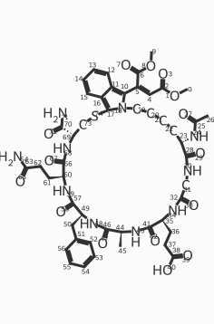 COC(=O)/C=C(\C(=O)OC)c1c2ccccc2c2n1CCCC[C@H](NC(C)=O)C(=O)NCC(=O)N[C@@H](CCC(=O)O)C(=O)N[C@@H](C)C(=O)N[C@@H](Cc1ccccc1)C(=O)N[C@@H](CCC(N)=O)C(=O)N[C@H](C(N)=O)CS2